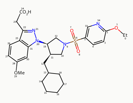 CCOc1ccc(S(=O)(=O)N2C[C@@H](CC3CCCCC3)[C@@H](n3nc(CC(=O)O)c4ccc(OC)cc43)C2)cn1